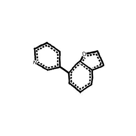 [c]1cc(-c2cccnc2)c2occc2c1